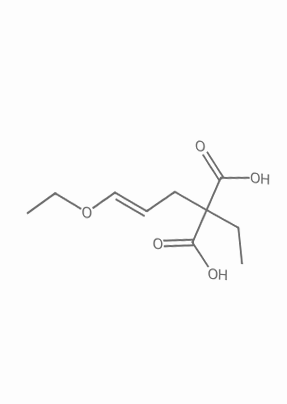 CCOC=CCC(CC)(C(=O)O)C(=O)O